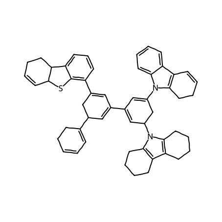 C1=CCCC(C2C=C(C3=CC(n4c5c(c6c4CCCC6)CCCC5)CC(n4c5c(c6ccccc64)C=CCC5)=C3)C=C(c3cccc4c3SC3C=CCCC43)C2)=C1